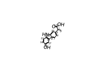 CC(C(=O)O)c1ccc2c(c1)[nH]c1ccc(O)cc12